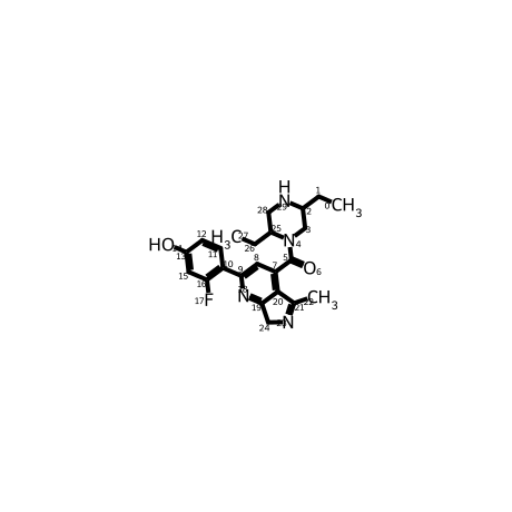 CCC1CN(C(=O)c2cc(-c3ccc(O)cc3F)nc3c2C(C)=NC3)C(CC)CN1